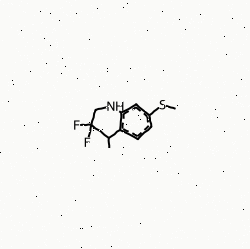 CSc1ccc2c(c1)NCC(F)(F)C2C